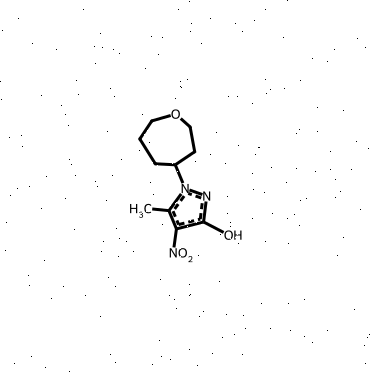 Cc1c([N+](=O)[O-])c(O)nn1C1CCCOCC1